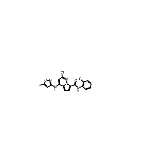 Cc1cc(Nc2cc(Cl)nn3c(C(=O)Nc4ccncc4F)ccc23)no1